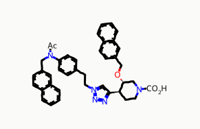 CC(=O)N(Cc1ccc2ccccc2c1)c1ccc(CCn2cc([C@@H]3CCN(C(=O)O)C[C@H]3OCc3ccc4ccccc4c3)nn2)cc1